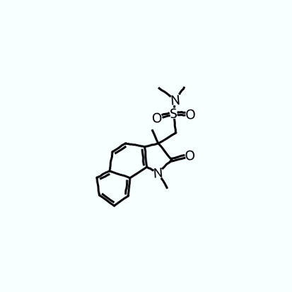 CN1C(=O)C(C)(CS(=O)(=O)N(C)C)c2ccc3ccccc3c21